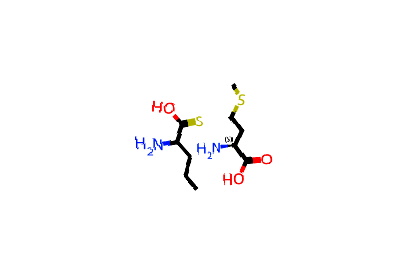 CCCC(N)C(O)=S.CSCC[C@H](N)C(=O)O